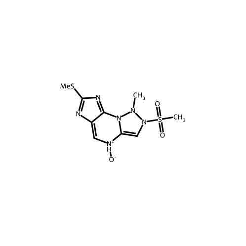 CSC1=NC2=C[NH+]([O-])C3=CN(S(C)(=O)=O)N(C)N3C2=N1